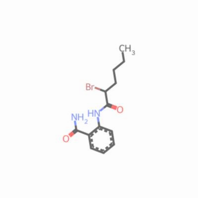 CCCCC(Br)C(=O)Nc1ccccc1C(N)=O